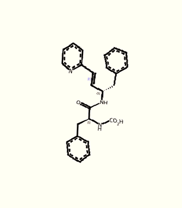 O=C(O)N[C@@H](Cc1ccccc1)C(=O)N[C@H](/C=C/c1ccccn1)Cc1ccccc1